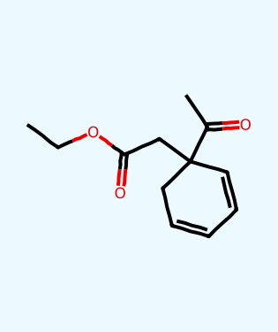 CCOC(=O)CC1(C(C)=O)C=CC=CC1